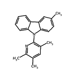 Cc1ccc2c(c1)c1ccccc1n2-c1nc(C)c(C)cc1C